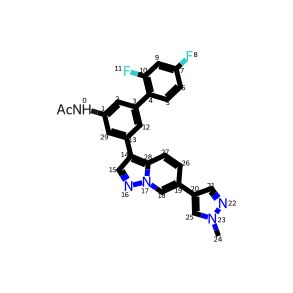 CC(=O)Nc1cc(-c2ccc(F)cc2F)cc(-c2cnn3cc(-c4cnn(C)c4)ccc23)c1